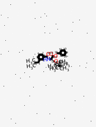 CC(C)Cc1cccc(C(=O)N[C@@H](CO[Si](C)(C)C(C)(C)C)C(=O)OCc2ccccc2)c1